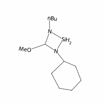 CCCCN1[SiH2]N(C2CCCCC2)C1OC